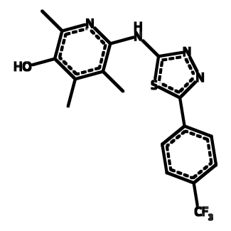 Cc1nc(Nc2nnc(-c3ccc(C(F)(F)F)cc3)s2)c(C)c(C)c1O